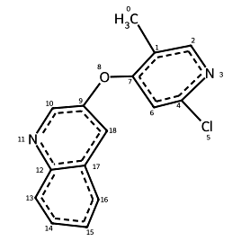 Cc1cnc(Cl)cc1Oc1cnc2ccccc2c1